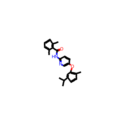 Cc1ccc(C(C)C)cc1Oc1ccc(NC(=O)c2c(C)cccc2C)nc1